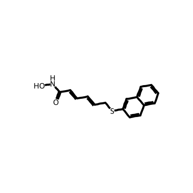 O=C(C=CC=CCSc1ccc2ccccc2c1)NO